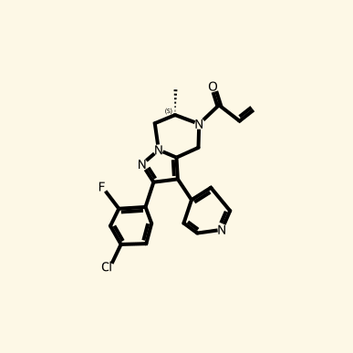 C=CC(=O)N1Cc2c(-c3ccncc3)c(-c3ccc(Cl)cc3F)nn2C[C@@H]1C